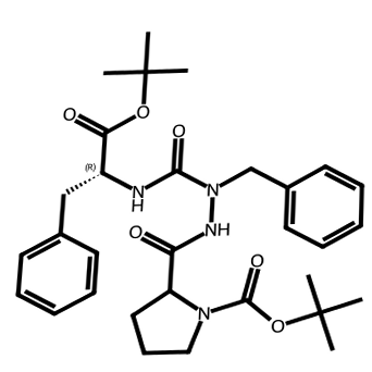 CC(C)(C)OC(=O)[C@@H](Cc1ccccc1)NC(=O)N(Cc1ccccc1)NC(=O)C1CCCN1C(=O)OC(C)(C)C